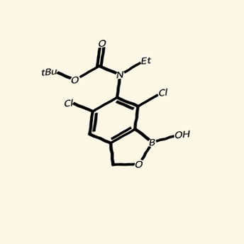 CCN(C(=O)OC(C)(C)C)c1c(Cl)cc2c(c1Cl)B(O)OC2